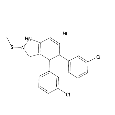 CSN1CC2=C(C=CC(c3cccc(Cl)c3)C2c2cccc(Cl)c2)N1.I